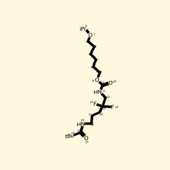 CC(C)OCCCCCCOC(=O)NCC(F)(F)CCCNC(=O)C(C)(C)C